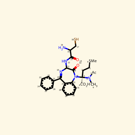 CSCC[C@@](C(=O)O)(N(C)C(C)=O)N1C(=O)C(NC(=O)C(N)CS)N=C(c2ccccc2)c2ccccc21